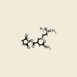 CN(C)CCSCC(CC(N)=O)C(=O)ON1C(=O)CCC1=O